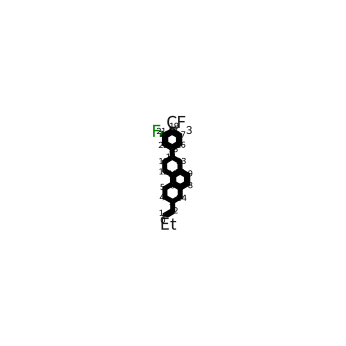 CC/C=C/C1CCc2c(ccc3c2CCC(c2ccc(C(F)(F)F)c(F)c2)C3)C1